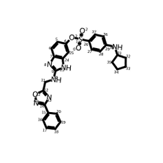 O=S(=O)(Oc1ccc2nc(NCc3nc(-c4ccccc4)no3)[nH]c2c1)c1ccc(NC2CCCC2)cc1